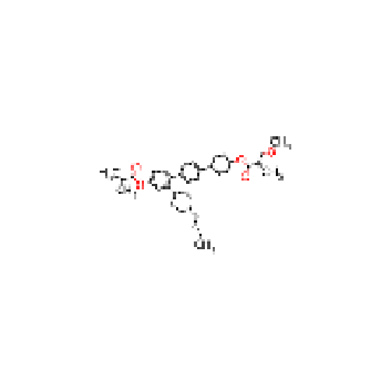 C=C(C)C(=O)Oc1ccc(-c2ccc(-c3ccc(OC(=O)C(=C)COC)cc3)cc2)c(C2CCC(CCCC)CC2)c1